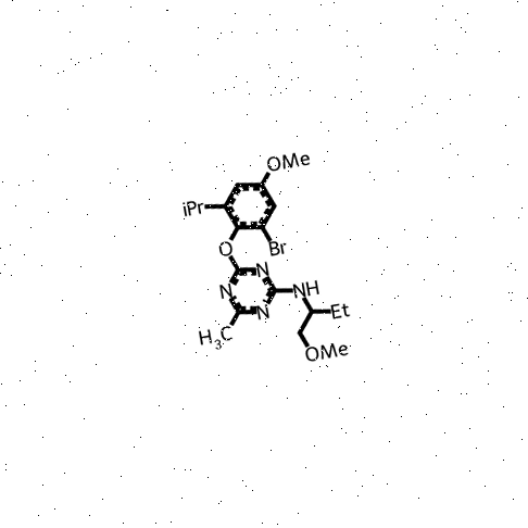 CCC(COC)Nc1nc(C)nc(Oc2c(Br)cc(OC)cc2C(C)C)n1